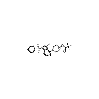 Cc1cn(S(=O)(=O)c2ccccc2)c2ncnc(N3CCN(OC(=O)C(C)(C)C)CC3)c12